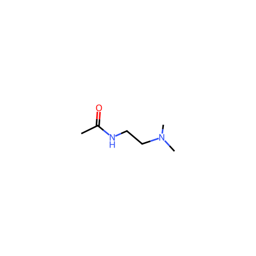 CC(=O)NCCN(C)C